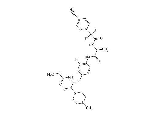 CCC(=O)N[C@H](Cc1ccc(NC(=O)[C@H](C)NC(=O)C(F)(F)c2ccc(C#N)cc2)c(F)c1)C(=O)N1CCN(C)CC1